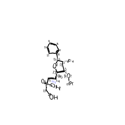 CC(C)O[C@H]1[C@@H](F)[C@H](c2ccccc2)O[C@@H]1/C=C/P(=O)(O)CO